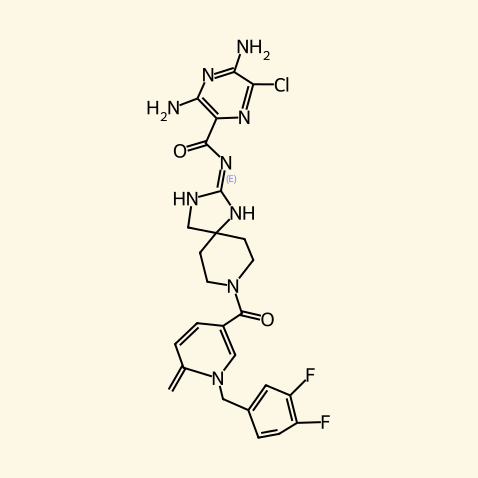 C=C1C=CC(C(=O)N2CCC3(CC2)CN/C(=N\C(=O)c2nc(Cl)c(N)nc2N)N3)=CN1Cc1ccc(F)c(F)c1